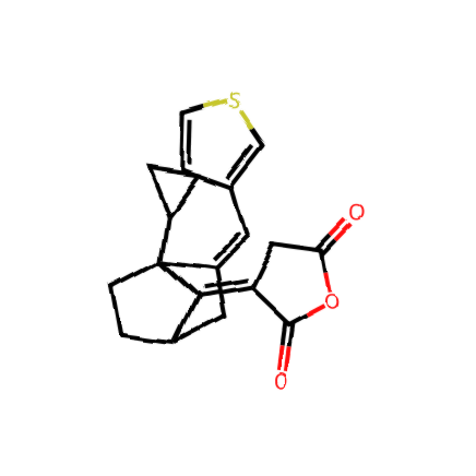 O=C1CC(=C2C3CCC2(C2CC2)C(=Cc2ccsc2)C3)C(=O)O1